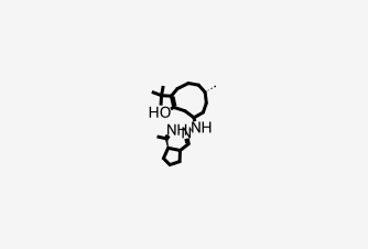 CC(=N)[C@@H]1CCCC1/C=N/NC1CC[C@@H](C)CCC/C(C(C)(C)C)=C(/O)C1